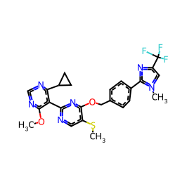 COc1ncnc(C2CC2)c1-c1ncc(SC)c(OCc2ccc(-c3nc(C(F)(F)F)cn3C)cc2)n1